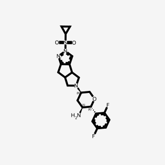 N[C@H]1C[C@@H](N2CC3Cc4nn(S(=O)(=O)C5CC5)cc4C3C2)CO[C@@H]1c1cc(F)ccc1F